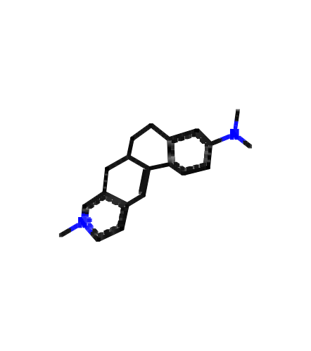 CN(C)c1ccc2c(c1)CCC1Cc3c[n+](C)ccc3C=C21